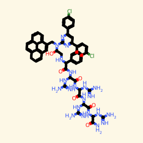 N=C(N)NC(NC(=O)C(NC(=N)N)NC(=O)C(NC(=N)N)NC(=O)C(NC(=N)N)NC(=O)C(NCC(O)N(CC1=CC2=C3C(=CC=C4C=CC=C1C43)CC=C2)c1nc(-c2ccc(Cl)cc2)cc(-c2ccc(Cl)cc2)n1)c1ccccc1)C(N)=O